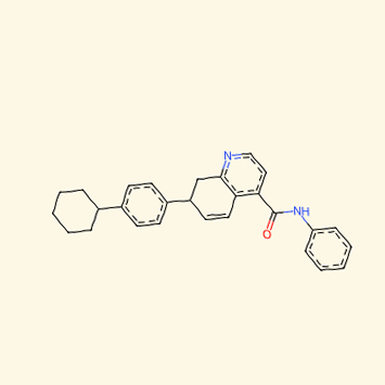 O=C(Nc1ccccc1)c1ccnc2c1C=CC(c1ccc(C3CCCCC3)cc1)C2